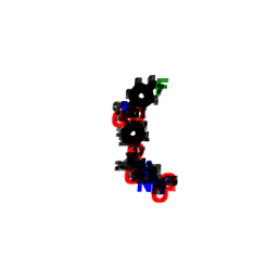 CN(c1ccc(CF)cc1)S(=O)(=O)c1ccc(OC[C@@]2(C)Cn3cc([N+](=O)[O-])nc3O2)cc1